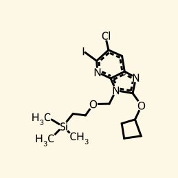 C[Si](C)(C)CCOCn1c(OC2CCC2)nc2cc(Cl)c(I)nc21